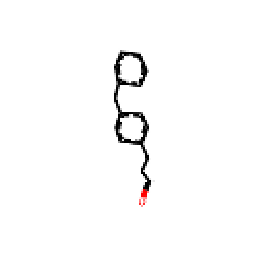 O=[C]CCc1ccc(Cc2ccccc2)cc1